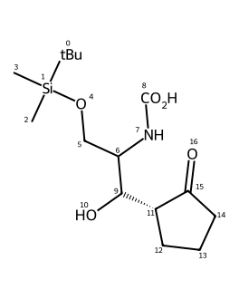 CC(C)(C)[Si](C)(C)OCC(NC(=O)O)C(O)[C@H]1CCCC1=O